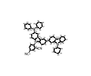 N#Cc1ccc(-n2c3ccc(-c4ccc5c6ccccc6n(-c6ccccc6)c5c4)cc3c3cc(N(c4ccccc4)c4ccccc4)ccc32)c(C#N)c1